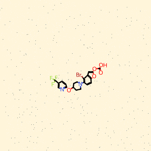 O=C(O)Oc1cc2c(Br)c(N3CCC(Oc4ccc(C(F)(F)F)cn4)CC3)ccc2o1